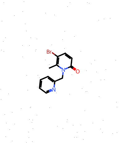 Cc1c(Br)ccc(=O)n1Cc1ccccn1